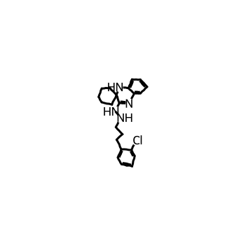 Clc1ccccc1CCCNNC1=Nc2ccccc2NC12CCCCC2